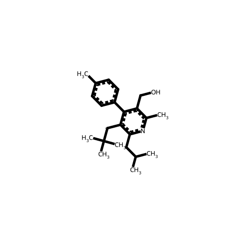 Cc1ccc(-c2c([CH]C(C)(C)C)c(CC(C)C)nc(C)c2CO)cc1